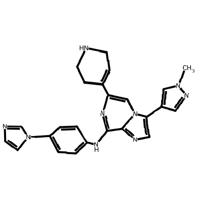 Cn1cc(-c2cnc3c(Nc4ccc(-n5ccnc5)cc4)nc(C4=CCNCC4)cn23)cn1